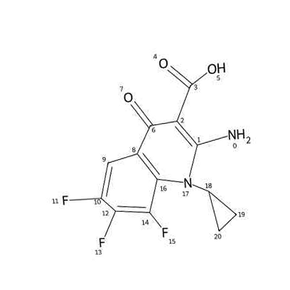 Nc1c(C(=O)O)c(=O)c2cc(F)c(F)c(F)c2n1C1CC1